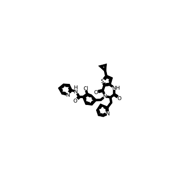 O=C(Nc1ccccn1)c1ccc(CN2C(=O)c3sc(C4CC4)cc3NC(=O)C2Cc2ccccn2)cc1Cl